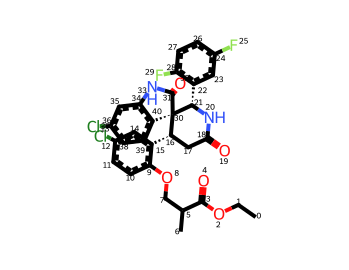 CCOC(=O)C(C)COc1ccc(Cl)cc1[C@H]1CC(=O)N[C@@H](c2cc(F)ccc2F)[C@]12C(=O)Nc1cc(Cl)ccc12